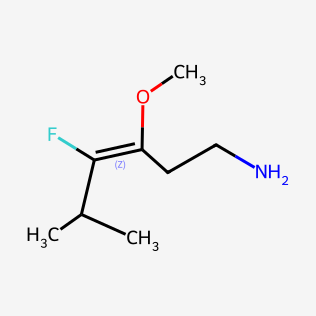 CO/C(CCN)=C(\F)C(C)C